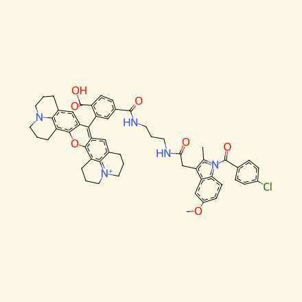 COc1ccc2c(c1)c(CC(=O)NCCCNC(=O)c1ccc(C(=O)O)c(C3=c4cc5c6c(c4Oc4c3cc3c7c4CCCN7CCC3)CCC[N+]=6CCC5)c1)c(C)n2C(=O)c1ccc(Cl)cc1